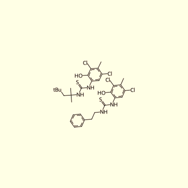 Cc1c(Cl)cc(NC(=S)NC(C)(C)CC(C)(C)C)c(O)c1Cl.Cc1c(Cl)cc(NC(=S)NCCc2ccccc2)c(O)c1Cl